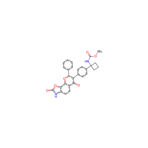 CC(C)(C)OC(=O)NC1(c2ccc(-c3c(-c4ccccc4)oc4c(ccc5[nH]c(=O)oc54)c3=O)cc2)CCC1